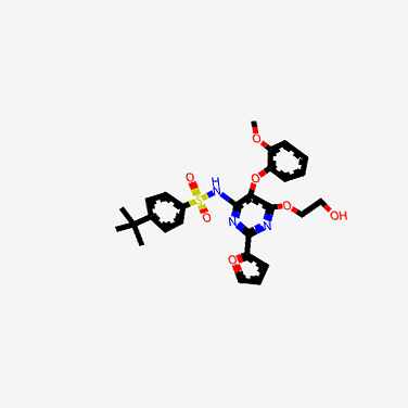 COc1ccccc1Oc1c(NS(=O)(=O)c2ccc(C(C)(C)C)cc2)nc(-c2ccco2)nc1OCCO